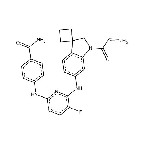 C=CC(=O)N1CC2(CCC2)c2ccc(Nc3nc(Nc4ccc(C(N)=O)cc4)ncc3F)cc21